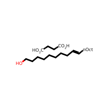 CCCCCCCCC=CCCCCCCCCO.O=C(O)CCC(=O)O